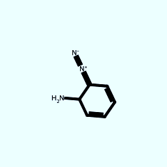 [N-]=[N+]=C1C=CC=CC1N